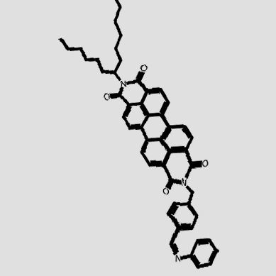 CCCCCCC(CCCCCC)N1C(=O)c2ccc3c4ccc5c6c(ccc(c7ccc(c2c37)C1=O)c64)C(=O)N(Cc1ccc(/C=N\c2ccccc2)cc1)C5=O